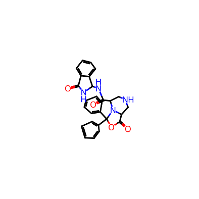 O=C1NC(NC(=O)C2CNCC3C(=O)OC(c4ccccc4)(c4ccccc4)N23)c2ccccc21